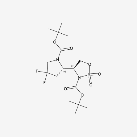 CC(C)(C)OC(=O)N1CC(F)(F)C[C@H]1[C@H]1COS(=O)(=O)N1C(=O)OC(C)(C)C